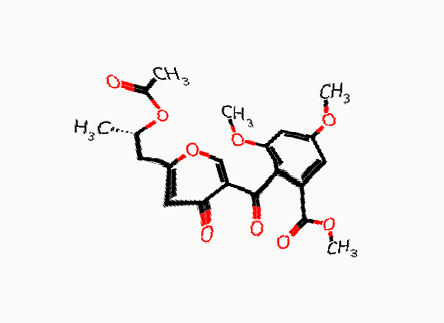 COC(=O)c1cc(OC)cc(OC)c1C(=O)c1coc(C[C@H](C)OC(C)=O)cc1=O